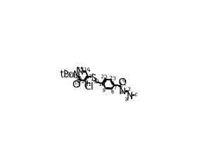 CN(C)C=NC(=O)c1ccc(CSc2cnn(C(C)(C)C)c(=O)c2Cl)cc1